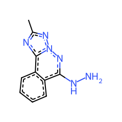 Cc1nc2c3ccccc3c(NN)nn2n1